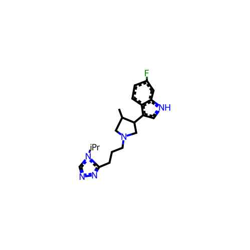 CC1CN(CCCc2nncn2C(C)C)CC1c1c[nH]c2cc(F)ccc12